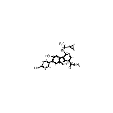 Cc1cc2c(cc1-c1cnc(N)nc1)[nH]c1c(C(N)=O)cnc(NC(C3CC3)C(F)(F)F)c12